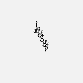 C/C=C/CCC1OCC(c2ccc(-c3ccc(-c4ccc(OCC)c(F)c4F)cc3)c(F)c2F)CO1